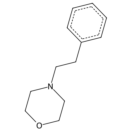 c1ccc(CCN2CCOCC2)cc1